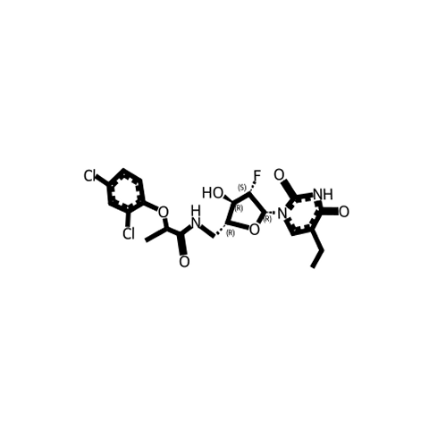 CCc1cn([C@@H]2O[C@H](CNC(=O)C(C)Oc3ccc(Cl)cc3Cl)[C@@H](O)[C@@H]2F)c(=O)[nH]c1=O